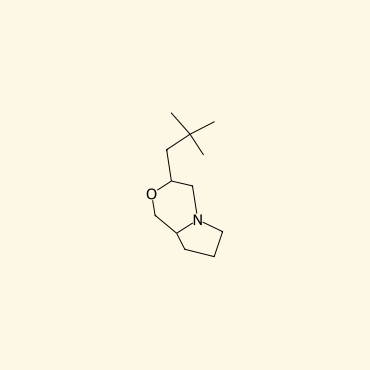 CC(C)(C)CC1CN2CCCC2CO1